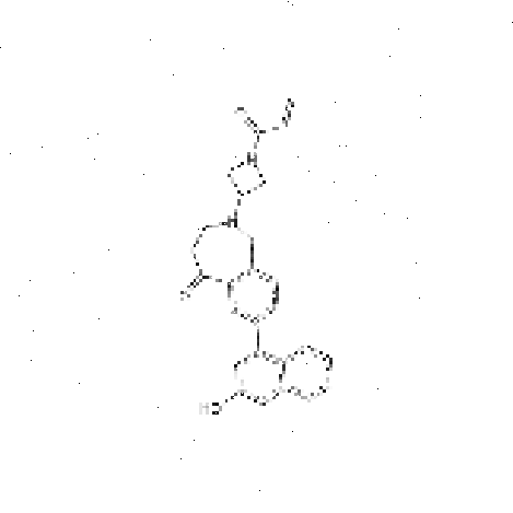 C=CC(=O)N1CC(N2CCC(=O)c3cc(-c4cc(O)cc5ccccc45)ccc3C2)C1